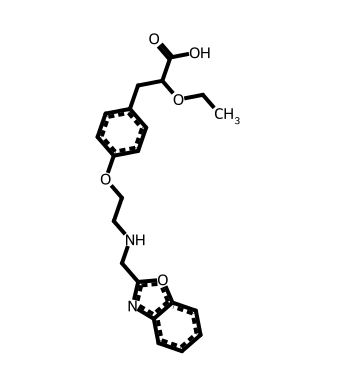 CCOC(Cc1ccc(OCCNCc2nc3ccccc3o2)cc1)C(=O)O